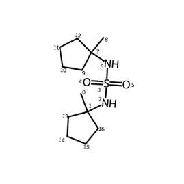 CC1(NS(=O)(=O)NC2(C)CCCC2)CCCC1